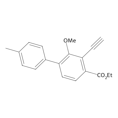 C#Cc1c(C(=O)OCC)ccc(-c2ccc(C)cc2)c1OC